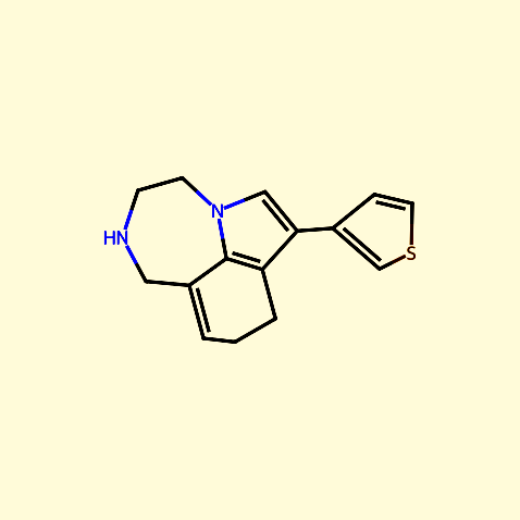 C1=C2CNCCn3cc(-c4ccsc4)c(c32)CC1